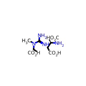 CN(CC(=O)O)C(=N)N.N[C@@H](CC(=O)O)C(=O)O